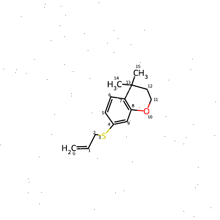 C=CCSc1ccc2c(c1)OCCC2(C)C